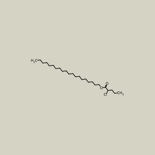 CCCCCCCCCCCCCCCCCCCCOC(=O)C(Cl)CCC